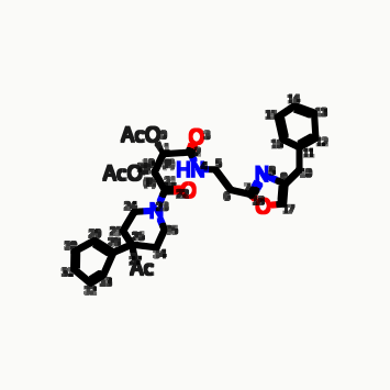 CC(=O)O[C@@H](C(=O)NCCc1nc(Cc2ccccc2)co1)[C@@H](OC(C)=O)C(=O)N1CCC(C(C)=O)(c2ccccc2)CC1